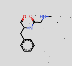 CNCC(=O)NC(C=O)Cc1ccccc1